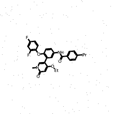 CCOc1cc(=O)n(C)cc1-c1cc(NC(=O)c2ccc(C(C)C)cc2)ccc1Oc1ccc(F)cc1F